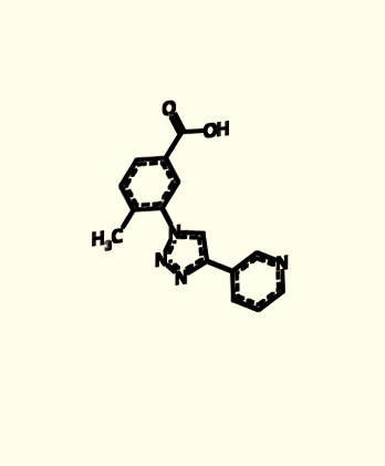 Cc1ccc(C(=O)O)cc1-n1cc(-c2cccnc2)nn1